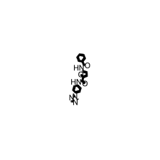 O=C(Nc1ccc(C(=O)Nc2ccc(-n3cncn3)cc2)o1)c1ccccc1